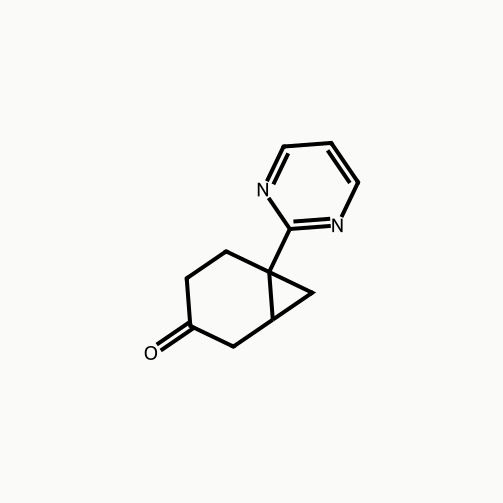 O=C1CCC2(c3ncccn3)CC2C1